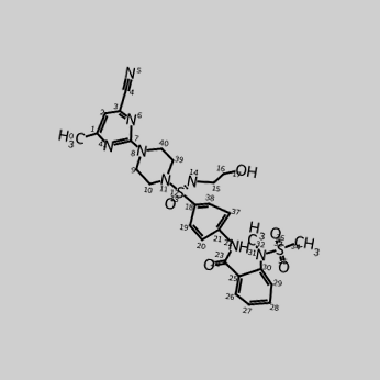 Cc1cc(C#N)nc(N2CCN(S(=O)(=NCCO)c3ccc(NC(=O)c4ccccc4N(C)S(C)(=O)=O)cc3)CC2)n1